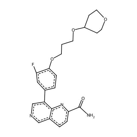 NC(=O)c1ccc2cncc(-c3ccc(OCCCOC4CCOCC4)c(F)c3)c2n1